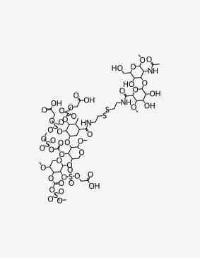 COC1COC(OC2COC(OC)C(OC3CC(C(=O)NCCSSCCNC(=O)C4OC(OC5C(O)C(CO)OC(OC)C5NC(C)=O)C(O)C(O)C4OC)C(C)C(OS(=O)(=O)OCC(=O)O)C3OS(=O)(=O)OCC(=O)O)C2OC(=O)OS(=O)(=O)OC)C(OS(=O)(=O)OCC(=O)O)C1OC(=O)OS(=O)(=O)OC